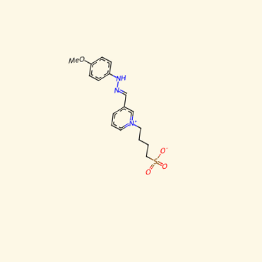 COc1ccc(NN=Cc2ccc[n+](CCCCS(=O)(=O)[O-])c2)cc1